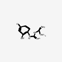 CC(C)(C)c1cc(Cl)ccc1NC(=N)NC(=N)N